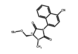 CN1C(=O)N(c2ccc(C#N)c3ccccc23)C(=O)[C@@H]1COC(C)(C)C